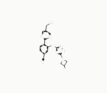 N#Cc1ccc(-c2ncc(CN)cn2)c(Oc2nnc(N3CC(F)C3)s2)c1